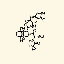 CC(C)(C)[C@H](NC(=O)C1(F)CC1)C(=O)N1C[C@@H]2[C@@H]3CC[C@@H](C3)[C@@H]2[C@H]1C(=O)N[C@@H](C[C@@H]1CCNC1=O)C(N)=O